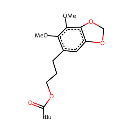 COc1c(CCCOC(=O)C(C)(C)C)cc2c(c1OC)OCO2